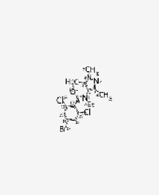 CCN(c1c(C)nn(C)c1C)[S+]([O-])c1c(Cl)cc(Br)cc1Cl